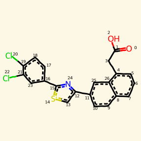 O=C(O)Cc1cccc2ccc(-c3csc(-c4ccc(Cl)c(Cl)c4)n3)cc12